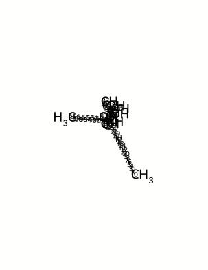 CCCCCCCCCCCCCCCCCCCCCCCCCC(=O)N[C@@H](CO[C@H]1C[C@H](COCC)[C@H](O)[C@H](O)[C@H]1O)[C@H](O)[C@H](O)CCCCCCCCCCCCCC